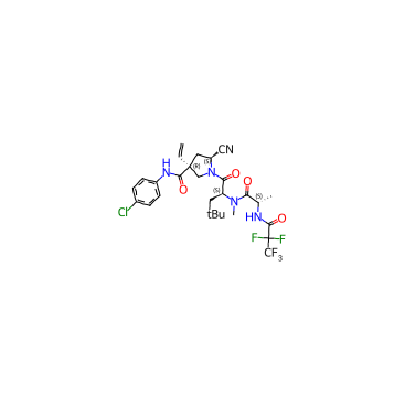 C=C[C@]1(C(=O)Nc2ccc(Cl)cc2)C[C@@H](C#N)N(C(=O)[C@H](CC(C)(C)C)N(C)C(=O)[C@H](C)NC(=O)C(F)(F)C(F)(F)F)C1